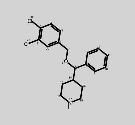 Clc1ccc(COC(c2ccccc2)C2CCNCC2)cc1Cl